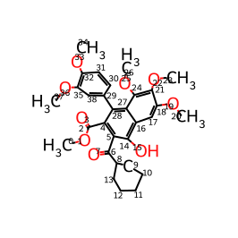 COC(=O)c1c(C(=O)C2CCCCC2)c(O)c2cc(OC)c(OC)c(OC)c2c1-c1ccc(OC)c(OC)c1